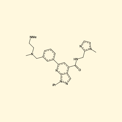 CNCCN(C)Cc1cccc(-c2cc(C(=O)NCc3nccn3C)c3cnn(C(C)C)c3n2)c1